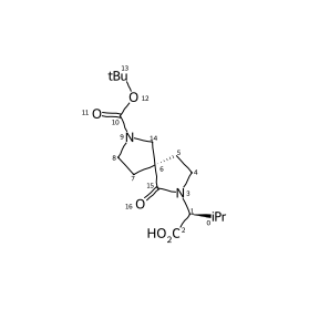 CC(C)[C@@H](C(=O)O)N1CC[C@@]2(CCN(C(=O)OC(C)(C)C)C2)C1=O